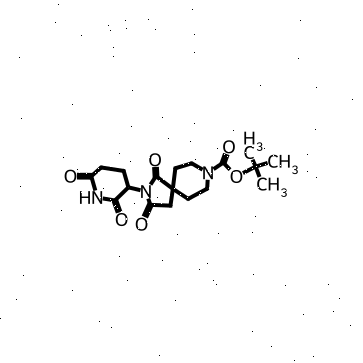 CC(C)(C)OC(=O)N1CCC2(CC1)CC(=O)N(C1CCC(=O)NC1=O)C2=O